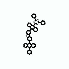 c1ccc(-c2nc(-c3ccccc3)nc(-c3c4ccccc4c(-c4ccc5sc6cc(-c7c8ccccc8c(-c8ccccc8)c8ccccc78)ccc6c5c4)c4ccccc34)n2)cc1